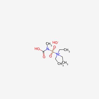 CC[N+](CC)(CC)S(=O)(=O)N(C)C(=O)O.[OH-]